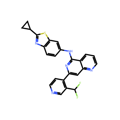 FC(F)c1cnccc1-c1cc2ncccc2c(Nc2ccc3nc(C4CC4)sc3c2)n1